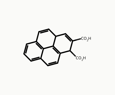 O=C(O)C1=CC2C=Cc3cccc4ccc(c2c34)C1C(=O)O